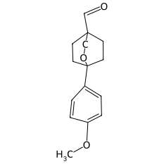 COc1ccc(C23CCC(C=O)(CC2)CO3)cc1